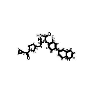 O=C(C1CC1)N1CC[C@@H](Cc2n[nH]c(=O)n2-c2ccc(-c3ccc4ncccc4c3)cc2F)C1